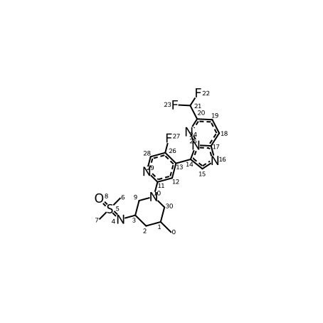 CC1CC(N=S(C)(C)=O)CN(c2cc(-c3cnc4ccc(C(F)F)nn34)c(F)cn2)C1